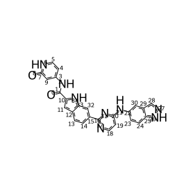 O=C(Nc1cc[nH]c(=O)c1)c1cc2ccc(-c3nccc(Nc4ccc5[nH]ncc5c4)n3)cc2[nH]1